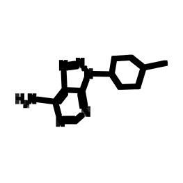 CC1CCC(n2nnc3c(N)ncnc32)CC1